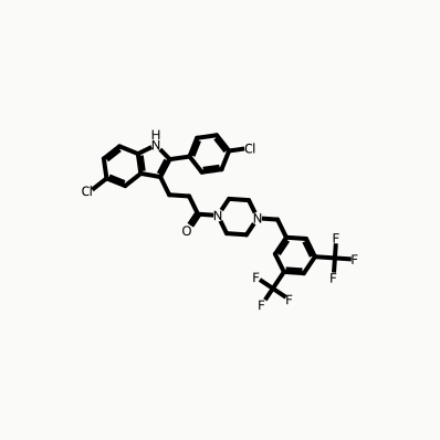 O=C(CCc1c(-c2ccc(Cl)cc2)[nH]c2ccc(Cl)cc12)N1CCN(Cc2cc(C(F)(F)F)cc(C(F)(F)F)c2)CC1